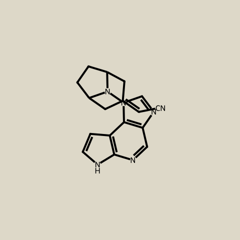 N#CC=C1CC2CCC(C1)N2n1cnc2cnc3[nH]ccc3c21